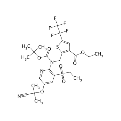 CCOC(=O)c1cc(C(F)(F)C(F)(F)F)sc1CN(C(=O)OC(C)(C)C)c1ncc(OC(C)(C)C#N)cc1S(=O)(=O)CC